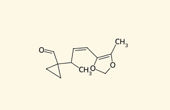 CC1=C(/C=C\C(C)C2(C=O)CC2)OCO1